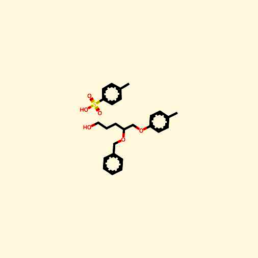 Cc1ccc(OCC(CCCO)OCc2ccccc2)cc1.Cc1ccc(S(=O)(=O)O)cc1